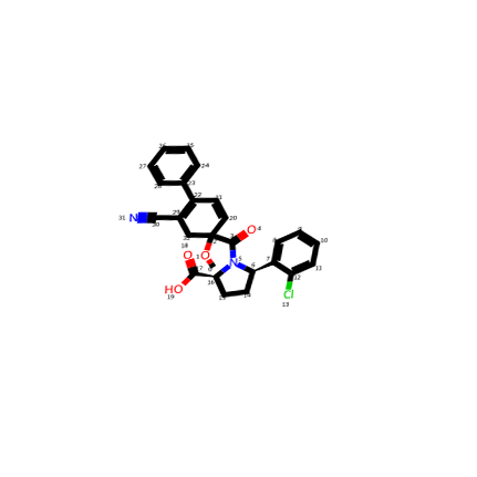 COC1(C(=O)N2[C@@H](c3ccccc3Cl)CC[C@H]2C(=O)O)C=CC(c2ccccc2)=C(C#N)C1